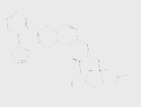 CCCC(=O)N(Cc1ccc2cc(-c3ccccc3-c3nnn[nH]3)ccc2c1)CC1(OC(=O)O)CCCC1